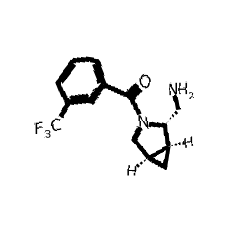 NC[C@@H]1[C@H]2C[C@H]2CN1C(=O)c1cccc(C(F)(F)F)c1